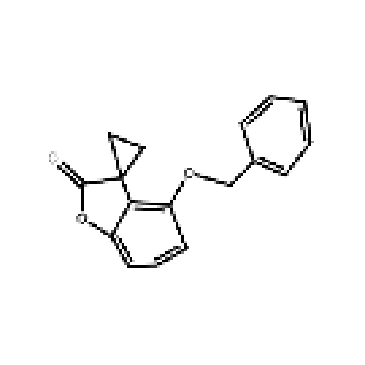 O=C1Oc2cccc(OCc3ccccc3)c2C12CC2